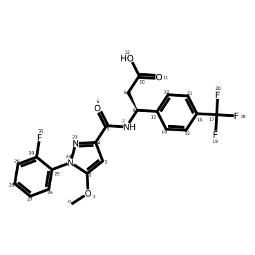 COc1cc(C(=O)N[C@@H](CC(=O)O)c2ccc(C(F)(F)F)cc2)nn1-c1ccccc1F